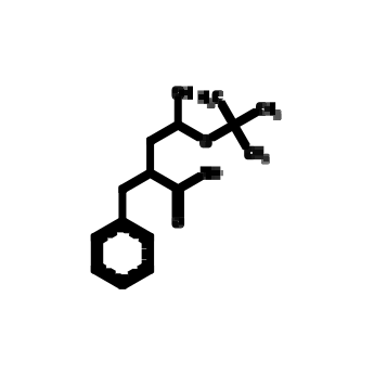 CC(C)(C)OC(O)CC(Cc1ccccc1)C([NH])=O